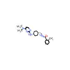 Cc1ccccc1C(=O)NC[C@H]1CC[C@@H](Nc2nccc(N(C)C)n2)CC1